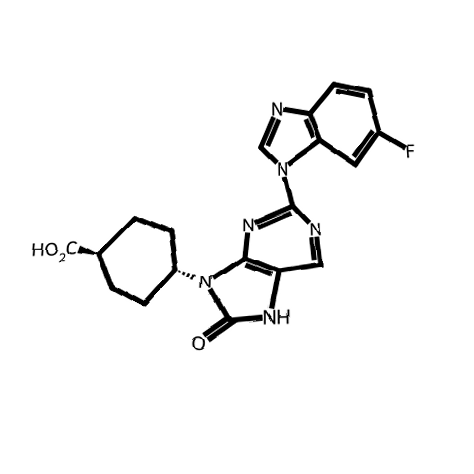 O=c1[nH]c2cnc(-n3cnc4ccc(F)cc43)nc2n1[C@H]1CC[C@H](C(=O)O)CC1